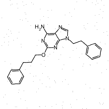 Nc1nc(OCCCc2ccccc2)nc2c1ncn2CCc1ccccc1